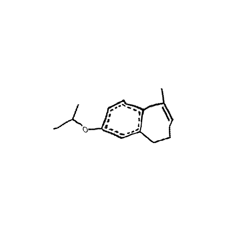 CC1=CCCc2cc(OC(C)C)ccc21